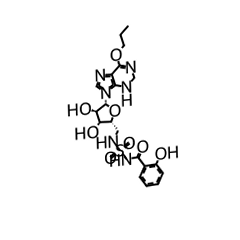 CCCOC1=NCNc2c1ncn2[C@@H]1O[C@H](CNS(=O)(=O)NC(=O)c2ccccc2O)[C@@H](O)[C@H]1O